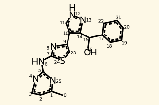 Cc1ccnc(Nc2nc(-c3c[nH]nc3C(O)c3ccccc3)cs2)n1